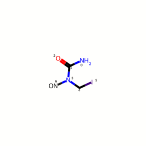 NC(=O)N(CI)N=O